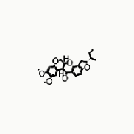 CCC(C)[C@H]1Cc2c(ccc3c2O[C@@H]2COc4cc(OC)c(OC)cc4[C@@H]2C3=O)O1